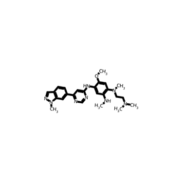 CNc1cc(Nc2cc(-c3ccc4cnn(C)c4c3)ncn2)c(OC)cc1N(C)CCN(C)C